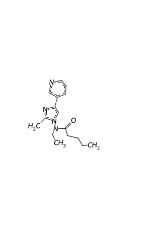 CCCCC(=O)N(CC)n1cc(-c2cccnc2)nc1C